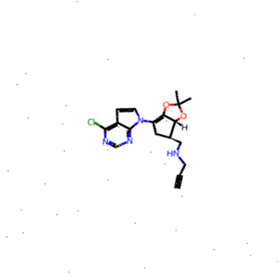 C#CCNC[C@H]1CC(n2ccc3c(Cl)ncnc32)=C2OC(C)(C)O[C@@H]21